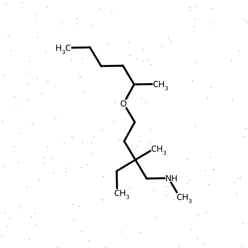 CCCCC(C)OCCC(C)(CC)CNC